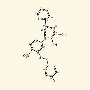 N#Cc1c(-c2ccc([N+](=O)[O-])c(OCc3ccc(F)cc3)c2)cc(-c2ccccc2)nc1Cl